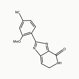 COc1cc(C#N)ccc1C1=NC2=CCNC(=O)C2=N1